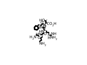 C[C@@H](O)[C@H](NC(=O)[C@H](Cc1ccccc1)NC(=O)[C@H](CCCNC(=N)N)NC(=O)[C@H](CCCCN)NC(=O)CN)C(=O)O